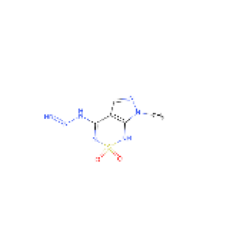 Cn1ncc2c1NS(=O)(=O)N=C2NN=N